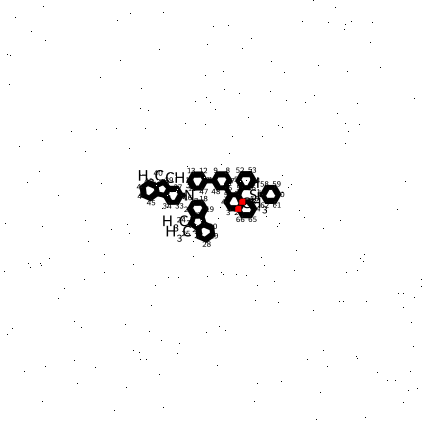 Cc1cccc(-c2cccc(-c3cccc(N(c4ccc5c(c4)C(C)(C)c4ccccc4-5)c4ccc5c(c4)C(C)(C)c4ccccc4-5)c3)c2)c1-c1ccccc1[SiH](c1ccccc1)c1ccccc1